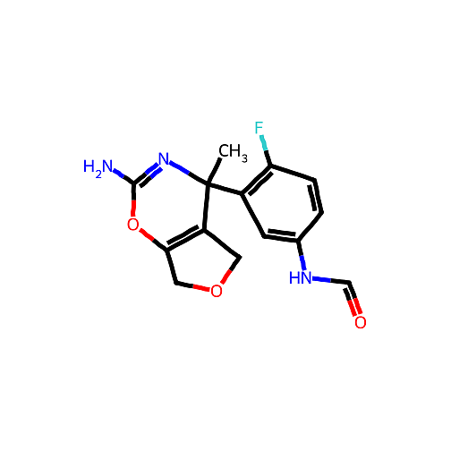 CC1(c2cc(NC=O)ccc2F)N=C(N)OC2=C1COC2